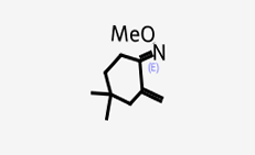 C=C1CC(C)(C)CC/C1=N\OC